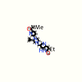 CCc1cc2ncc(CN3CCN(c4ccc(C(=O)NC)nc4)[C@@H](C4CC4)C3)cc2[nH]c1=O